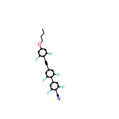 CCCCOc1cc(F)c(C#Cc2cc(F)c(-c3cc(F)c(C#N)c(F)c3)c(F)c2)c(F)c1